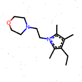 CCc1c(C)c(C)n(CCN2CCOCC2)c1C